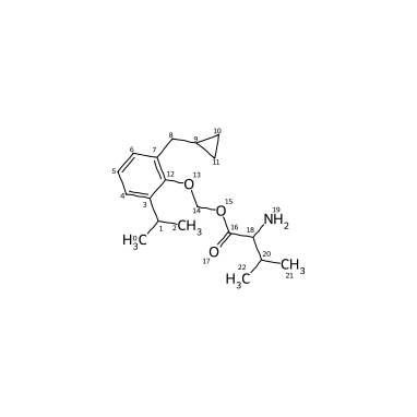 CC(C)c1cccc(CC2CC2)c1OCOC(=O)C(N)C(C)C